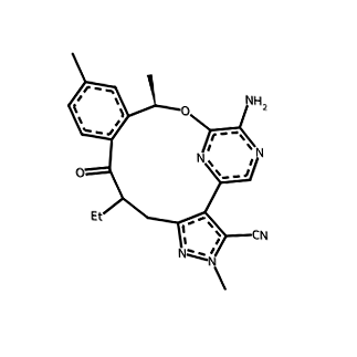 CCC1Cc2nn(C)c(C#N)c2-c2cnc(N)c(n2)O[C@H](C)c2cc(C)ccc2C1=O